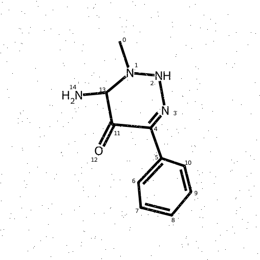 CN1NN=C(c2ccccc2)C(=O)C1N